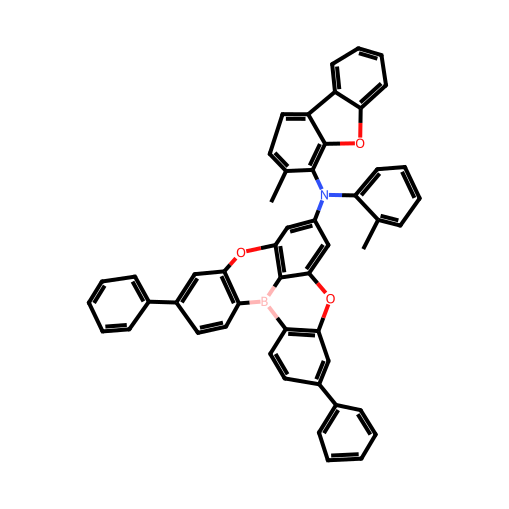 Cc1ccccc1N(c1cc2c3c(c1)Oc1cc(-c4ccccc4)ccc1B3c1ccc(-c3ccccc3)cc1O2)c1c(C)ccc2c1oc1ccccc12